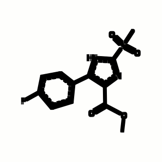 COC(=O)c1nc(S(C)(=O)=O)[nH]c1-c1ccc(F)cc1